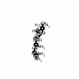 CC(C)(C)c1ccc(C(=O)NCCC[C@H](NC(=O)c2ccc(NCc3cnc4nc(N)nc(N)c4n3)c(N)c2)C(=O)O)c(-c2nn[nH]n2)c1